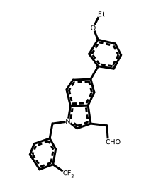 CCOc1cccc(-c2ccc3c(c2)c(CC=O)cn3Cc2cccc(C(F)(F)F)c2)c1